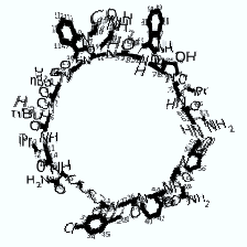 CCCC[C@H]1C(=O)N(C)[C@@H](CCCC)C(=O)N[C@@H](CC(C)C)C(=O)N[C@H](C(N)=O)CCCC(=O)N[C@@H](Cc2ccc(Cl)cc2)C(=O)N2CCCC[C@H]2C(=O)N[C@@H](CC(N)=O)C(=O)N2CCC[C@H]2C(=O)N[C@@H](CN)C(=O)N[C@@H](CC(C)C)C(=O)N2C[C@H](O)C[C@H]2C(=O)N[C@@H](Cc2c[nH]c3ccccc23)C(=O)N[C@@H](CCN)C(=O)N[C@@H](Cc2cn(CC(=O)O)c3ccccc23)C(=O)N1C